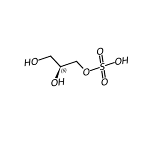 O=S(=O)(O)OC[C@@H](O)CO